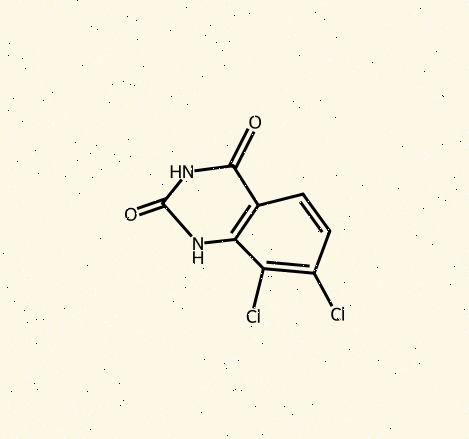 O=c1[nH]c(=O)c2ccc(Cl)c(Cl)c2[nH]1